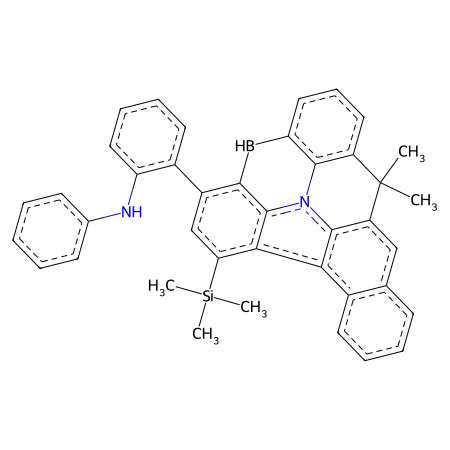 CC1(C)c2cccc3c2-n2c4c(c(-c5ccccc5Nc5ccccc5)cc([Si](C)(C)C)c4c4c5ccccc5cc1c42)B3